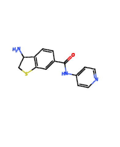 NC1CSc2cc(C(=O)Nc3ccncc3)ccc21